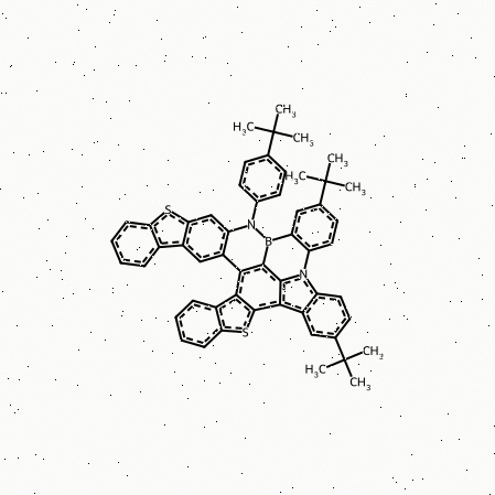 CC(C)(C)c1ccc(N2B3c4cc(C(C)(C)C)ccc4-n4c5ccc(C(C)(C)C)cc5c5c6sc7ccccc7c6c(c3c54)-c3cc4c(cc32)sc2ccccc24)cc1